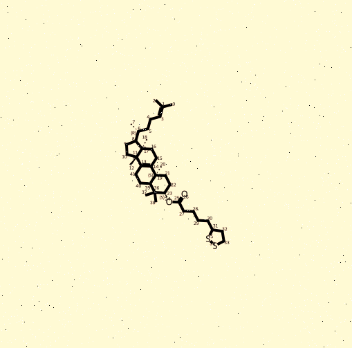 CC(C)=CCC[C@@H](C)C1CC[C@@]2(C)C3=C(CC[C@]12C)[C@@]1(C)CC[C@H](OC(=O)CCCCC2CCSS2)C(C)(C)C1CC3